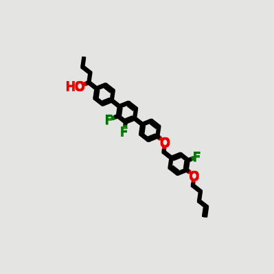 C=CCCCOc1ccc(COc2ccc(-c3ccc(-c4ccc(C(O)CCC)cc4)c(F)c3F)cc2)cc1F